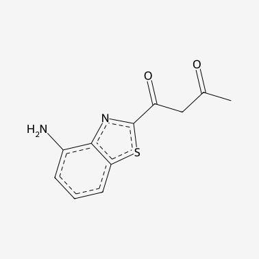 CC(=O)CC(=O)c1nc2c(N)cccc2s1